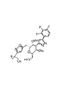 CO[C@@H]1[C@@H](n2cc(-c3ccc(C)c(F)c3F)nn2)[C@@H](O)[C@@H](CO)O[C@@H]1Cc1cc(C2(CC#N)CC2)no1